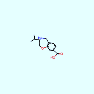 CC(C)C1COc2cc(C(=O)O)ccc2CN1